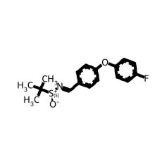 CC(C)(C)[S@@+]([O-])N=Cc1ccc(Oc2ccc(F)cc2)cc1